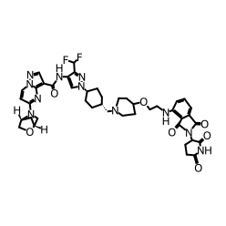 O=C1CCC(N2C(=O)c3cccc(NCCOC4CCN(C[C@H]5CC[C@H](n6cc(NC(=O)c7cnn8ccc(N9C[C@H]%10C[C@@H]9CO%10)nc78)c(C(F)F)n6)CC5)CC4)c3C2=O)C(=O)N1